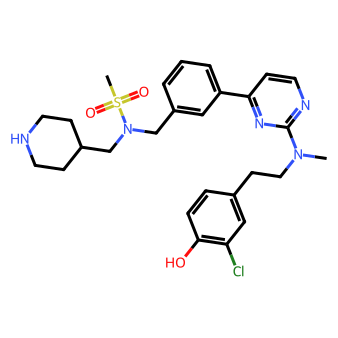 CN(CCc1ccc(O)c(Cl)c1)c1nccc(-c2cccc(CN(CC3CCNCC3)S(C)(=O)=O)c2)n1